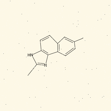 Cc1ccc2c(ccc3[nH]c(C)nc32)c1